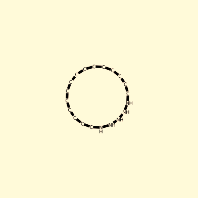 C1CCCCCCCNNNNNCCCCCCC1